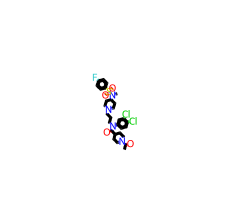 CC(=O)N1CCC(C(=O)N(CCCN2CCC(N(C)S(=O)(=O)c3ccc(F)cc3)CC2)c2ccc(Cl)c(Cl)c2)CC1